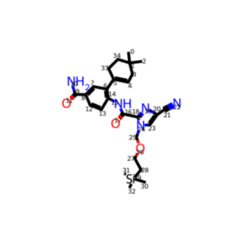 CC1(C)CC=C(c2cc(C(N)=O)ccc2NC(=O)c2nc(C#N)cn2COCC[Si](C)(C)C)CC1